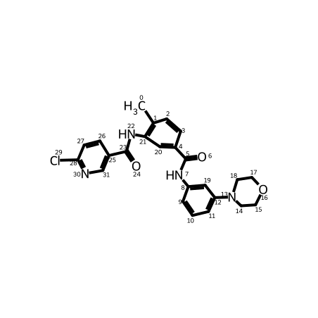 Cc1ccc(C(=O)Nc2cccc(N3CCOCC3)c2)cc1NC(=O)c1ccc(Cl)nc1